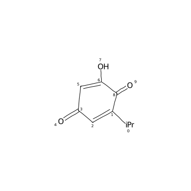 CC(C)C1=CC(=O)C=C(O)C1=O